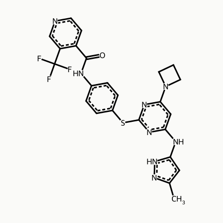 Cc1cc(Nc2cc(N3CCC3)nc(Sc3ccc(NC(=O)c4ccncc4C(F)(F)F)cc3)n2)[nH]n1